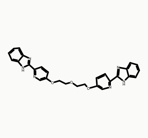 c1ccc2[nH]c(-c3ccc(OCCOCCOc4ccc(-c5nc6ccccc6[nH]5)nc4)cn3)nc2c1